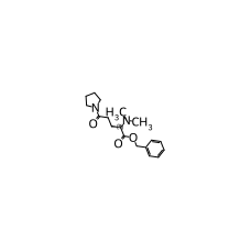 CN(C)[C@H](CCC(=O)N1CCCC1)C(=O)OCc1ccccc1